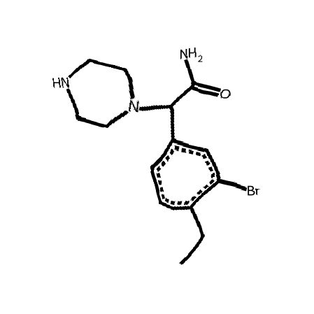 CCc1ccc(C(C(N)=O)N2CCNCC2)cc1Br